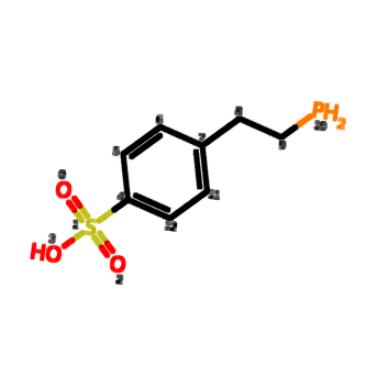 O=S(=O)(O)c1ccc(CCP)cc1